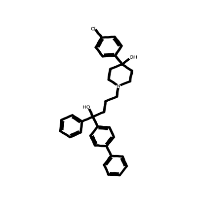 OC1(c2ccc(Cl)cc2)CCN(CCCC(O)(c2ccccc2)c2ccc(-c3ccccc3)cc2)CC1